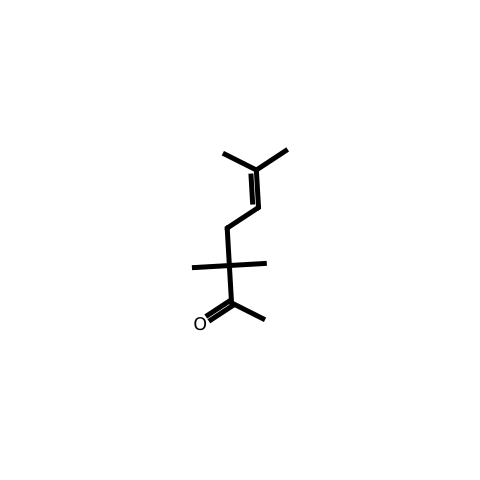 CC(=O)C(C)(C)CC=C(C)C